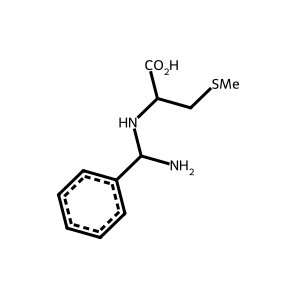 CSCC(NC(N)c1ccccc1)C(=O)O